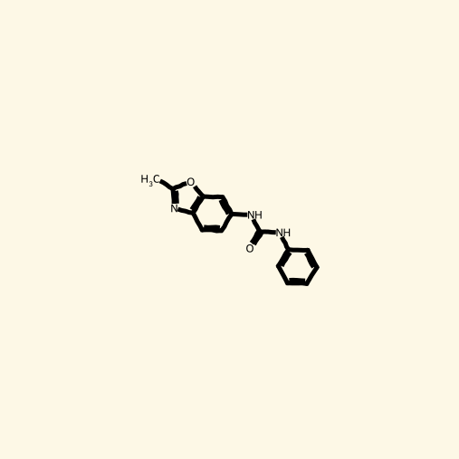 Cc1nc2ccc(NC(=O)Nc3ccccc3)cc2o1